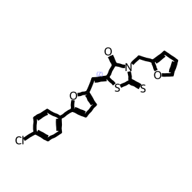 O=C1/C(=C/c2ccc(-c3ccc(Cl)cc3)o2)SC(=S)N1Cc1ccco1